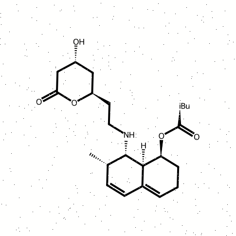 CC[C@H](C)C(=O)O[C@H]1CCC=C2C=C[C@H](C)[C@H](NCC[C@@H]3C[C@@H](O)CC(=O)O3)[C@H]21